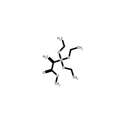 C=C(C(=O)OC)[Si](OCC)(OCC)OCC